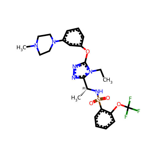 CCn1c(Oc2cccc(N3CCN(C)CC3)c2)nnc1[C@@H](C)NS(=O)(=O)c1ccccc1OC(F)(F)F